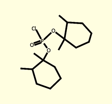 CC1CCCCC1(C)OP(=O)(Cl)OC1(C)CCCCC1C